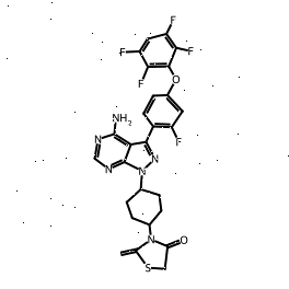 C=C1SCC(=O)N1C1CCC(n2nc(-c3ccc(Oc4c(F)c(F)cc(F)c4F)cc3F)c3c(N)ncnc32)CC1